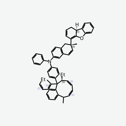 CC/C=C\C=C(/C)C1(c2ccc(N(c3ccccc3)c3ccc4c(c3)C=C[C@@](C)(C3=C5Oc6ccccc6[C@@H]5CC=C3)C4)cc2)c2ccccc2C(C)/C=C\C=C/[C@@H]1CC